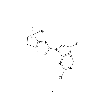 C[C@@]1(O)CCc2ccc(-n3cc(F)c4cnc(Cl)nc43)nc21